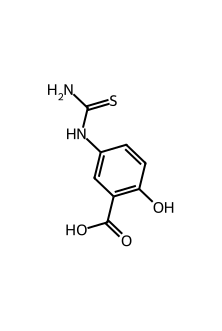 NC(=S)Nc1ccc(O)c(C(=O)O)c1